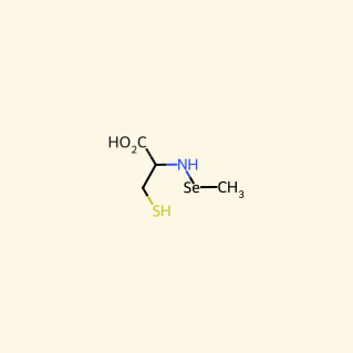 C[Se]NC(CS)C(=O)O